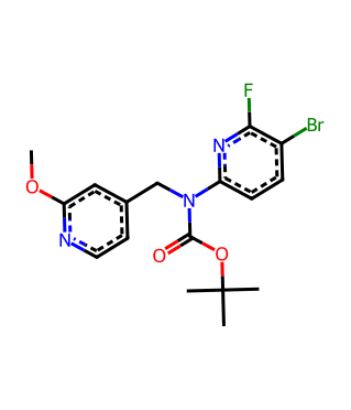 COc1cc(CN(C(=O)OC(C)(C)C)c2ccc(Br)c(F)n2)ccn1